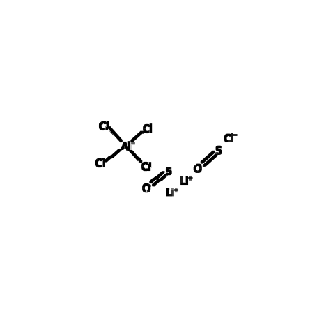 O=S.O=S.[Cl-].[Cl][Al-]([Cl])([Cl])[Cl].[Li+].[Li+]